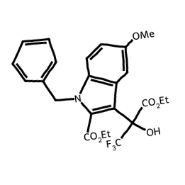 CCOC(=O)c1c(C(O)(C(=O)OCC)C(F)(F)F)c2cc(OC)ccc2n1Cc1ccccc1